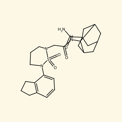 NC(=O)C12CC3CC(C1)C(NC(=O)CN1CCCN(c4cccc5c4CCC5)S1(=O)=O)C(C3)C2